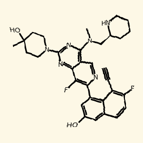 C#Cc1c(F)ccc2cc(O)cc(-c3ncc4c(N(C)C[C@@H]5CCCCN5)nc(N5CCC(C)(O)CC5)nc4c3F)c12